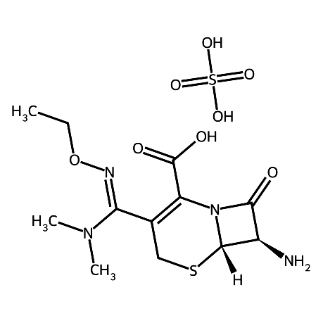 CCON=C(C1=C(C(=O)O)N2C(=O)[C@@H](N)[C@@H]2SC1)N(C)C.O=S(=O)(O)O